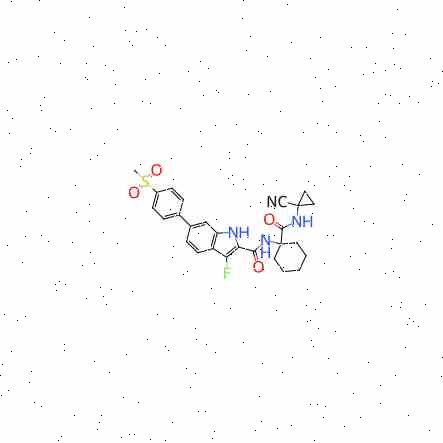 CS(=O)(=O)c1ccc(-c2ccc3c(F)c(C(=O)NC4(C(=O)NC5(C#N)CC5)CCCCC4)[nH]c3c2)cc1